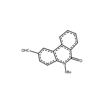 CCCCn1c(=O)c2ccccc2c2cc(C=O)ccc21